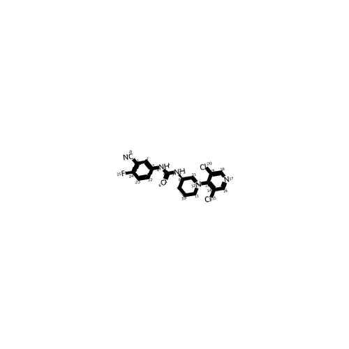 N#Cc1cc(NC(=O)N[C@@H]2CCCN(c3c(Cl)cncc3Cl)C2)ccc1F